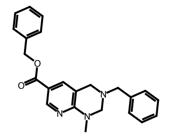 CN1CN(Cc2ccccc2)Cc2cc(C(=O)OCc3ccccc3)cnc21